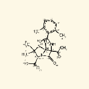 CC(=O)C1(NC(=O)c2c(C)cccc2C)C(=O)N2[C@@H](C(=O)O)C(C)(C)S[C@@H]21